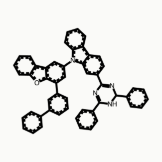 c1ccc(C2=NC(c3ccc4c5ccccc5n(-c5cc(-c6cccc(-c7ccccc7)c6)c6oc7ccccc7c6c5)c4c3)=NC(c3ccccc3)N2)cc1